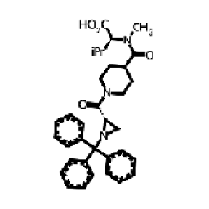 CC(C)[C@@H](C(=O)O)N(C)C(=O)C1CCN(C(=O)[C@@H]2CN2C(c2ccccc2)(c2ccccc2)c2ccccc2)CC1